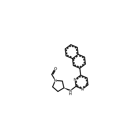 O=CN1CC[C@H](Nc2nccc(-c3ccc4ccccc4c3)n2)C1